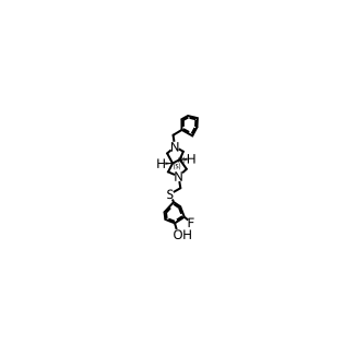 Oc1ccc(SCN2C[C@@H]3CN(Cc4ccccc4)C[C@@H]3C2)cc1F